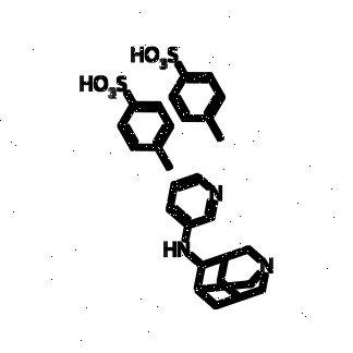 Cc1ccc(S(=O)(=O)O)cc1.Cc1ccc(S(=O)(=O)O)cc1.c1cncc(NC2C3CC4CC2CN(C4)C3)c1